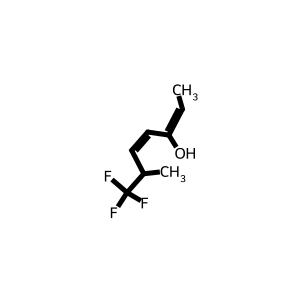 C/C=C(O)\C=C/C(C)C(F)(F)F